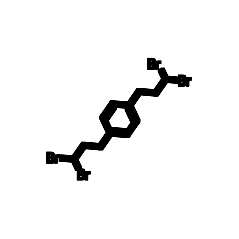 BrC(Br)CCc1ccc(CCC(Br)Br)cc1